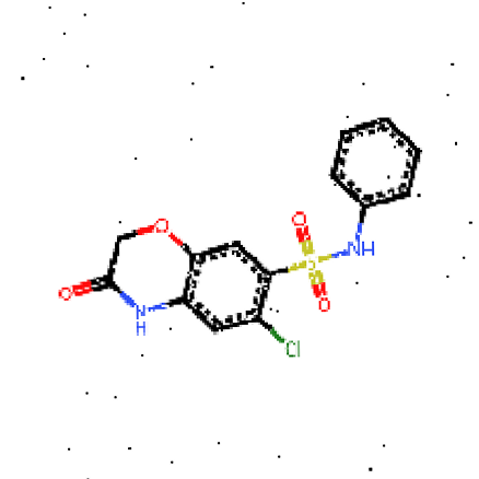 O=C1COc2cc(S(=O)(=O)Nc3ccccc3)c(Cl)cc2N1